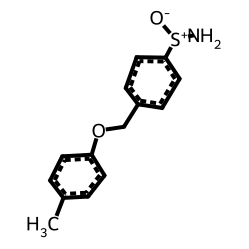 Cc1ccc(OCc2ccc([S+](N)[O-])cc2)cc1